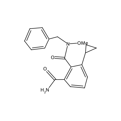 CON(Cc1ccccc1)C(=O)c1c(C(N)=O)cccc1C1CC1